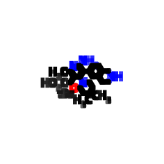 Cc1nc(N)c(-c2ccc3c(c2)CCNC3)c(N2CCC(C)(C)CC2)c1C(OC(C)(C)C)C(=O)O